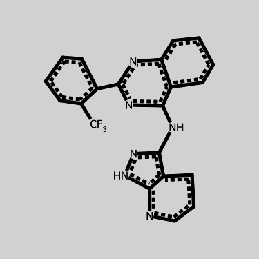 FC(F)(F)c1ccccc1-c1nc(Nc2n[nH]c3ncccc23)c2ccccc2n1